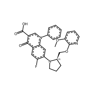 COc1cccnc1OC[C@H]1CCCN1c1cc2c(cc1F)c(=O)c(C(=O)O)cn2-c1ccccc1